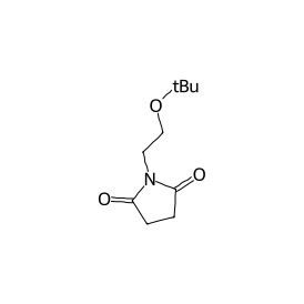 CC(C)(C)OCCN1C(=O)CCC1=O